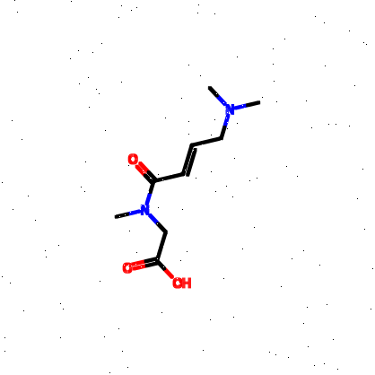 CN(C)CC=CC(=O)N(C)CC(=O)O